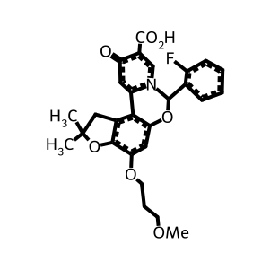 COCCCOc1cc2c(c3c1OC(C)(C)C3)-c1cc(=O)c(C(=O)O)cn1C(c1ccccc1F)O2